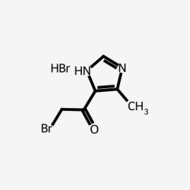 Br.Cc1nc[nH]c1C(=O)CBr